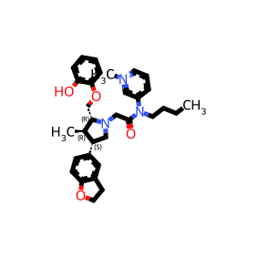 CCCCN(C(=O)CN1C[C@H](c2ccc3c(c2)CCO3)[C@@H](C)[C@@H]1COc1ccccc1O)c1ccc[n+](C)c1